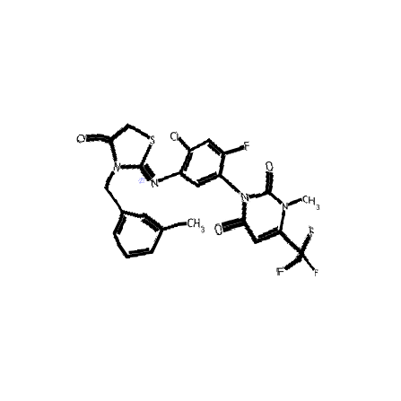 Cc1cccc(CN2C(=O)CS/C2=N\c2cc(-n3c(=O)cc(C(F)(F)F)n(C)c3=O)c(F)cc2Cl)c1